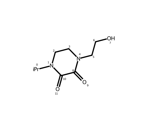 CC(C)N1CCN(CCO)C(=O)C1=O